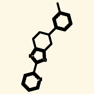 Cc1cccc(C2CCc3nc(-c4ccccn4)oc3C2)c1